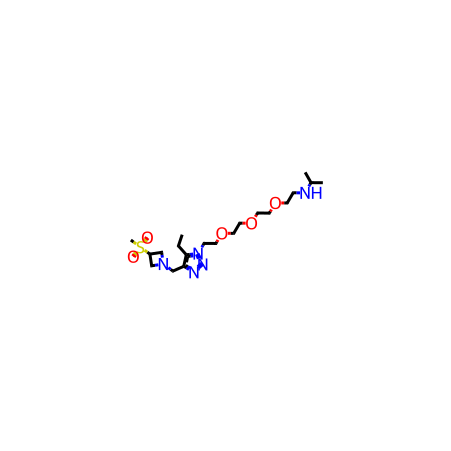 CCc1c(CN2CC(S(C)(=O)=O)C2)nnn1CCOCCOCCOCCNC(C)C